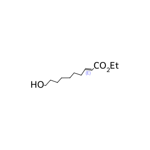 CCOC(=O)/C=C/CCCCCCCO